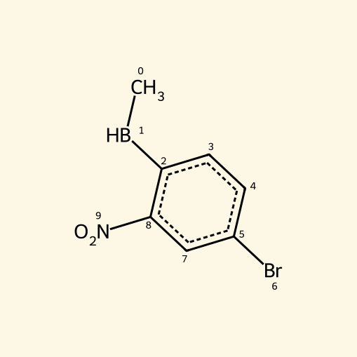 CBc1ccc(Br)cc1[N+](=O)[O-]